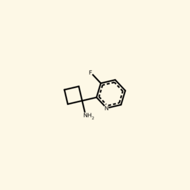 NC1(c2ncccc2F)CCC1